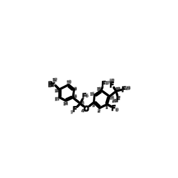 Fc1cc(OC(F)(F)c2ccc(Br)cc2)cc(F)c1C(F)(F)F